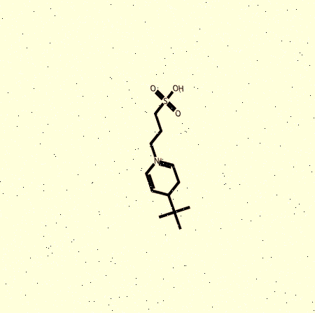 CC(C)(C)C1C=C[N+](CCCS(=O)(=O)O)=CC1